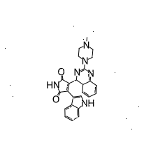 CN1CCN(C2=NC(C3=C(c4c[nH]c5ccccc45)C(=O)NC3=O)C3C=CC=CC3=N2)CC1